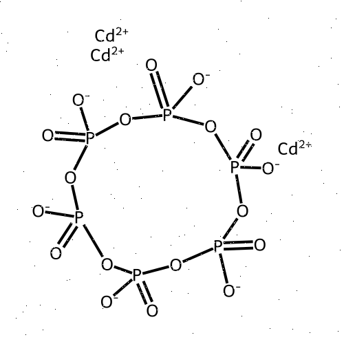 O=P1([O-])OP(=O)([O-])OP(=O)([O-])OP(=O)([O-])OP(=O)([O-])OP(=O)([O-])O1.[Cd+2].[Cd+2].[Cd+2]